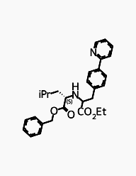 CCOC(=O)C(Cc1ccc(-c2ccccn2)cc1)N[C@@H](CC(C)C)C(=O)OCc1ccccc1